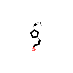 C=C[C@H]1CC[C@@H](/C=C\CO)C1